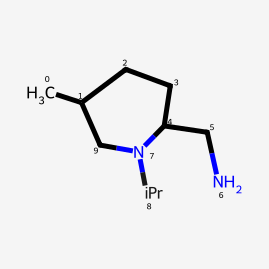 CC1CCC(CN)N(C(C)C)C1